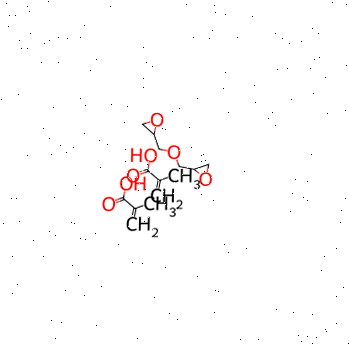 C(OCC1CO1)C1CO1.C=C(C)C(=O)O.C=C(C)C(=O)O